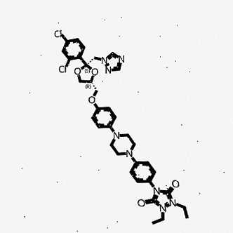 CCn1c(=O)n(-c2ccc(N3CCN(c4ccc(OC[C@@H]5CO[C@@](Cn6cncn6)(c6ccc(Cl)cc6Cl)O5)cc4)CC3)cc2)c(=O)n1CC